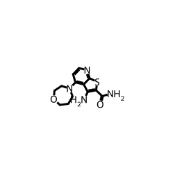 NC(=O)c1sc2nccc(N3CCCOCC3)c2c1N